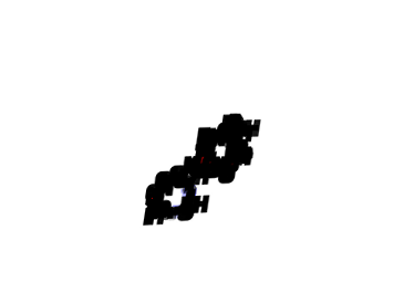 CC1=C\[C@@H](O)CC(=O)Cc2nc(co2)C(=O)N2CCC=C2C(=O)O[C@H](C(C)C)[C@H](C)/C=C/C(=O)NC\C=C\1.CC[C@H]1NC(=O)[C@@H](NC(=O)c2ncccc2O)[C@@H](C)OC(=O)[C@H](c2ccccc2)NC(=O)[C@@H]2CC(=O)CCN2C(=O)[C@H](Cc2ccc(N(C)C)cc2)N(C)C(=O)[C@@H]2CCCN2C1=O